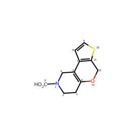 O=C(O)N1CCC2=C(C1)c1ccsc1CO2